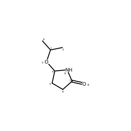 CC(C)OC1CCC(=O)N1